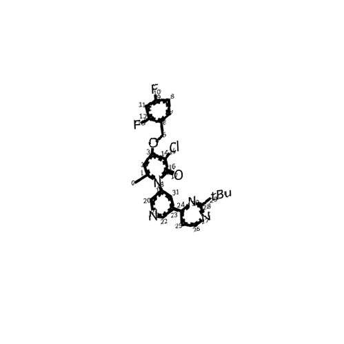 Cc1cc(OCc2ccc(F)cc2F)c(Cl)c(=O)n1-c1cncc(-c2ccnc(C(C)(C)C)n2)c1